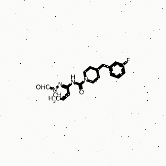 C/C=C\C(=N/N(C)C=O)NC(=O)N1CCC(Cc2cccc(F)c2)CC1